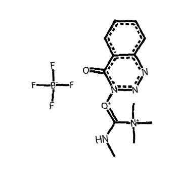 CNC(=[O+]n1nnc2ccccc2c1=O)[N+](C)(C)C.F[B-](F)(F)F